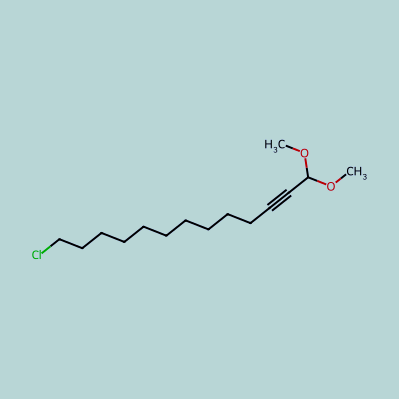 COC(C#CCCCCCCCCCCCl)OC